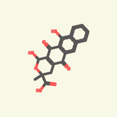 CC1(C(=O)O)CC2=C(C(=O)c3c(cc4ccccc4c3O)C2=O)C(O)O1